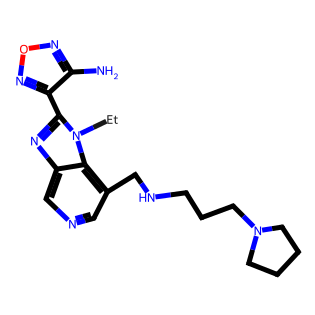 CCn1c(-c2nonc2N)nc2cncc(CNCCCN3CCCC3)c21